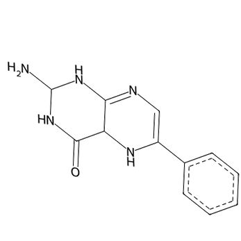 NC1NC(=O)C2NC(c3ccccc3)=CN=C2N1